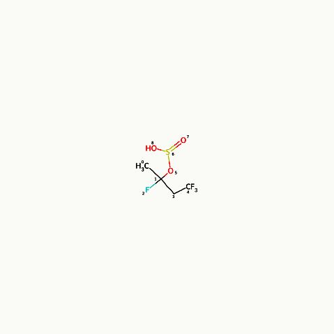 CC(F)(CC(F)(F)F)OS(=O)O